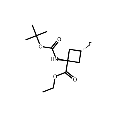 CCOC(=O)[C@]1(NC(=O)OC(C)(C)C)C[C@H](F)C1